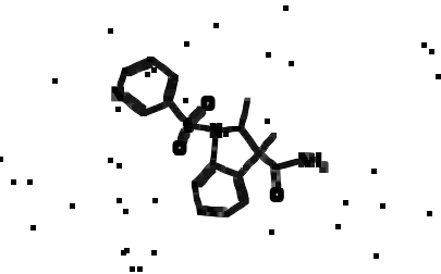 CC1N(S(=O)(=O)c2cccnc2)c2ccccc2C1(C)C(N)=O